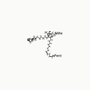 CCCCC/C=C\C/C=C\CCCCCCCC1OC(C)(CCNC)OC1CCCCCCC/C=C\C/C=C\CCCCC